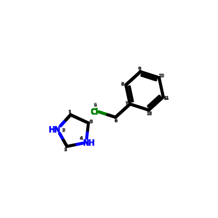 C1CNCN1.ClCc1ccccc1